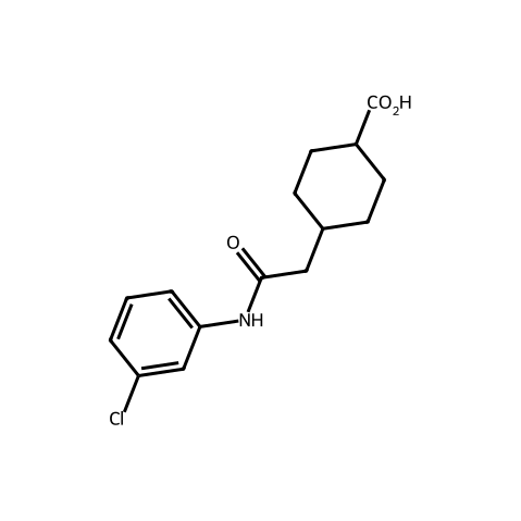 O=C(CC1CCC(C(=O)O)CC1)Nc1cccc(Cl)c1